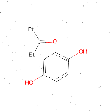 CCC(=O)CC.Oc1ccc(O)cc1